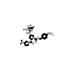 CN(C)[C@H]1CCN(C(=O)[C@@H]2C[C@H](S)CN2C(=O)OCc2ccc([N+](=O)[O-])cc2)C1.O=S(=O)(O)C(F)(F)F